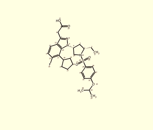 CC[C@H]1C[C@@H](n2nc(CC(=O)O)c3ccc(F)c(C4CCCC4)c32)CN1S(=O)(=O)c1ccc(OC(C)C)cc1